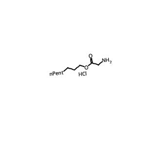 CCCCCCCCOC(=O)CN.Cl